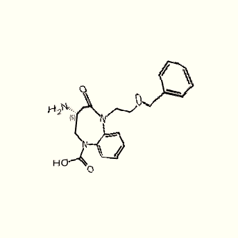 N[C@H]1CN(C(=O)O)c2ccccc2N(CCOCc2ccccc2)C1=O